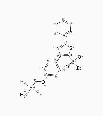 CCS(=O)(=O)c1sc(-c2ccccc2)nc1-c1ccc(OCC(C)(F)F)cn1